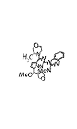 CNc1nc2ccccc2n1-c1nc(N2CCOCC2C)c2ccc(C(OC)C3CCOC3)n2n1